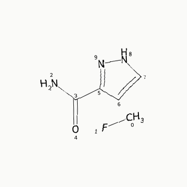 CF.NC(=O)c1cc[nH]n1